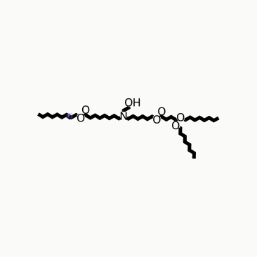 CCCCCC/C=C/COC(=O)CCCCCCCN(CCO)CCCCCCOC(=O)CCC(OCCCCCCCC)OCCCCCCCC